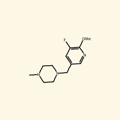 COc1ncc(CN2CCN(C)CC2)cc1F